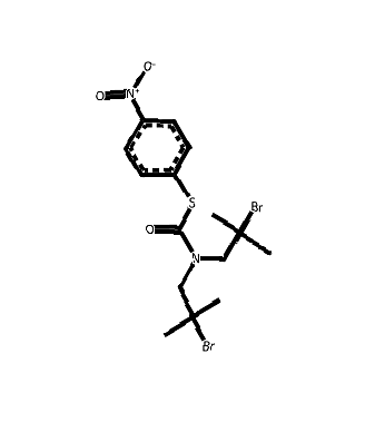 CC(C)(Br)CN(CC(C)(C)Br)C(=O)Sc1ccc([N+](=O)[O-])cc1